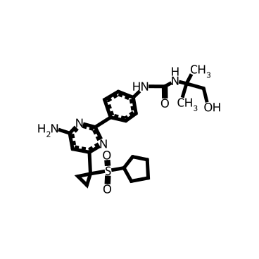 CC(C)(CO)NC(=O)Nc1ccc(-c2nc(N)cc(C3(S(=O)(=O)C4CCCC4)CC3)n2)cc1